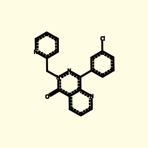 O=c1c2cccnc2c(-c2cccc(Cl)c2)nn1Cc1ccccn1